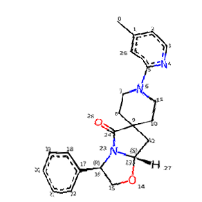 Cc1ccnc(N2CCC3(CC2)C[C@@H]2OC[C@@H](c4ccccc4)N2C3=O)c1